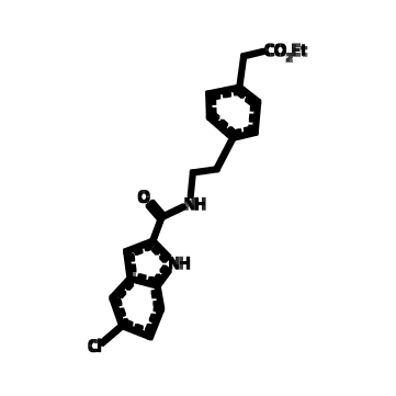 CCOC(=O)Cc1ccc(CCNC(=O)c2cc3cc(Cl)ccc3[nH]2)cc1